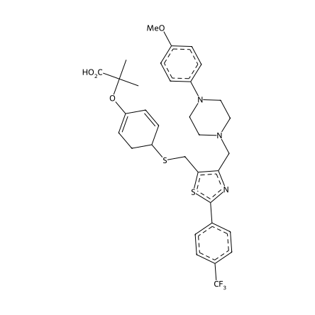 COc1ccc(N2CCN(Cc3nc(-c4ccc(C(F)(F)F)cc4)sc3CSC3C=CC(OC(C)(C)C(=O)O)=CC3)CC2)cc1